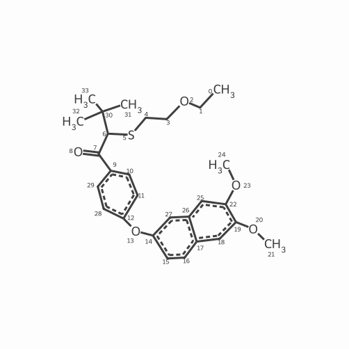 CCOCCSC(C(=O)c1ccc(Oc2ccc3cc(OC)c(OC)cc3c2)cc1)C(C)(C)C